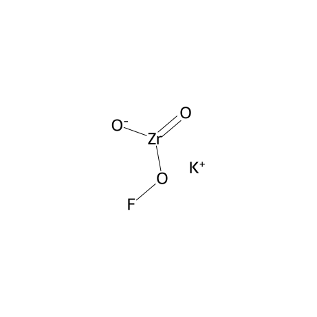 [K+].[O]=[Zr]([O-])[O]F